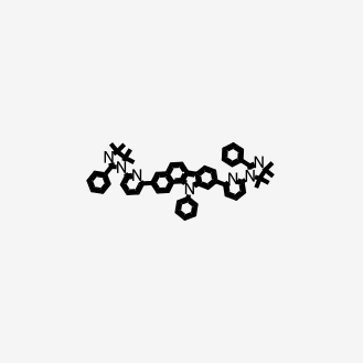 CC1(C)N=C(c2ccccc2)N(c2cccc(-c3ccc4c(ccc5c6ccc(-c7cccc(N8C(c9ccccc9)=NC(C)(C)C8(C)C)n7)cc6n(-c6ccccc6)c45)c3)n2)C1(C)C